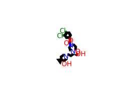 O=C(Oc1ccc(Cl)c(Cl)c1)N1CCC(=O)N([C@@H](CO)CCN2CCC3(CC3)[C@H](O)C2)CC1